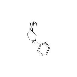 CCCN1CC[C@@H](c2ccccc2)C1